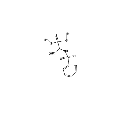 CC(C)SP(=S)(SC(C)C)C(C=O)NS(=O)(=O)c1ccccc1